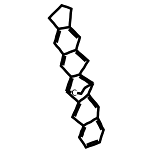 c1ccc2cc3c4c5cc6cc7c(cc6cc5c(c3cc2c1)CCC4)CCC7